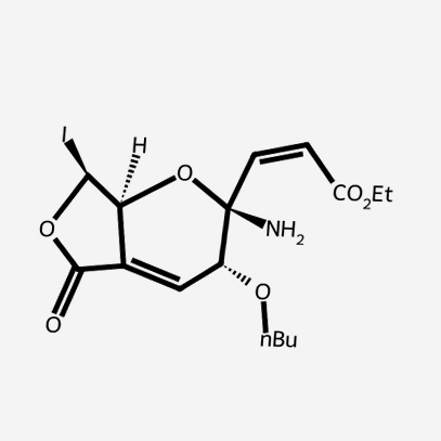 CCCCO[C@@H]1C=C2C(=O)O[C@@H](I)[C@H]2O[C@]1(N)/C=C\C(=O)OCC